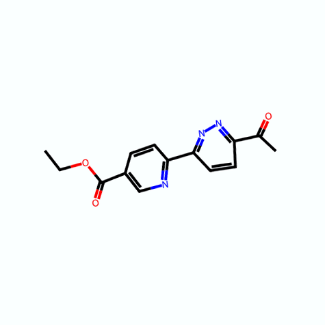 CCOC(=O)c1ccc(-c2ccc(C(C)=O)nn2)nc1